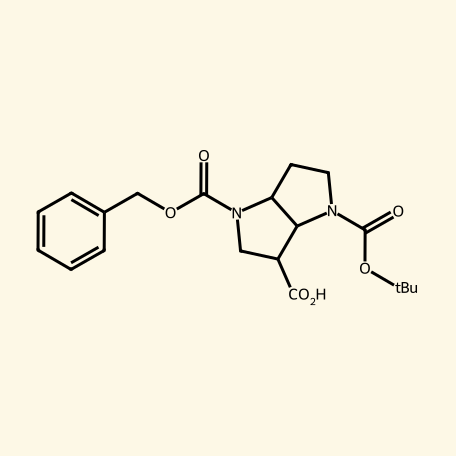 CC(C)(C)OC(=O)N1CCC2C1C(C(=O)O)CN2C(=O)OCc1ccccc1